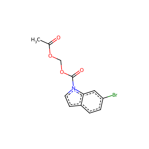 CC(=O)OCOC(=O)n1ccc2ccc(Br)cc21